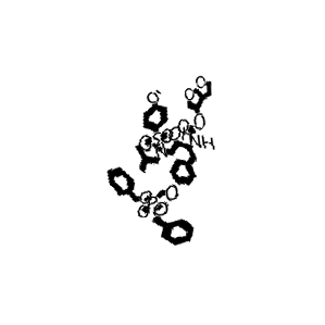 COc1ccc(S(=O)(=O)N(CC(C)C)CC(O)C(Cc2ccc(OCP(=O)(OCc3ccccc3)OCc3ccccc3)cc2)NC(=O)OC2COC3OCCC23)cc1